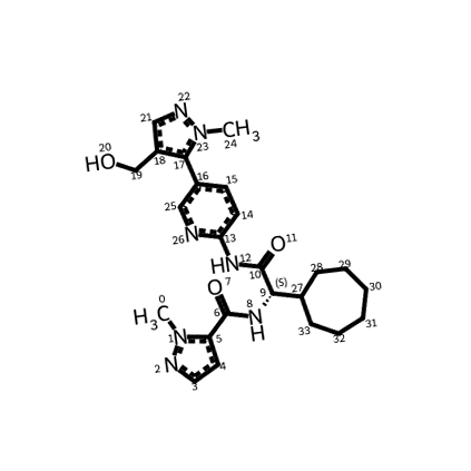 Cn1nccc1C(=O)N[C@H](C(=O)Nc1ccc(-c2c(CO)cnn2C)cn1)C1CCCCCC1